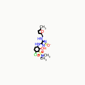 Cc1ccc(CNc2n[s+]([O-])nc2Nc2ccc(Cl)c(S(=O)(=O)N(C)C)c2O)o1